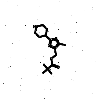 Cc1sc(C2CCNCC2)nc1COC(=O)C(C)(C)C